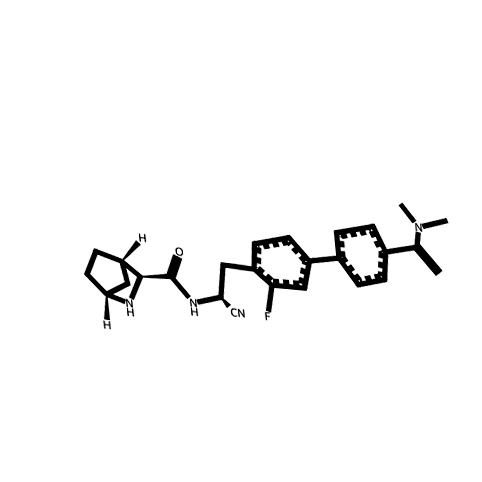 C=C(c1ccc(-c2ccc(C[C@@H](C#N)NC(=O)[C@H]3N[C@@H]4CC[C@H]3C4)c(F)c2)cc1)N(C)C